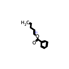 C=CC/C=C/OC(=O)c1ccccc1